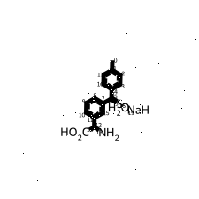 Cc1ccc(C(=S)c2cccc(C(N)C(=O)O)c2)cc1.O.[NaH]